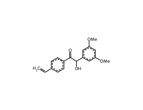 C=Cc1ccc(C(=O)C(O)c2cc(OC)cc(OC)c2)cc1